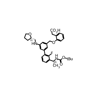 C[C@@H](NC(=O)OC(C)(C)C)c1cccc(-c2cc(COc3ccccc3CC(=O)O)cc(NC[C@@H]3CCCO3)c2)c1F